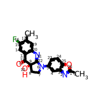 Cc1nc2cc(N3CCC4(O)C(=O)c5cc(F)c(C)cc5N=C34)ccc2o1